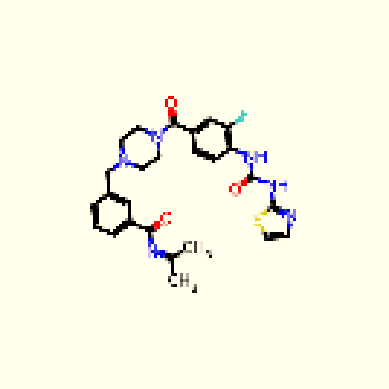 CC(C)=NC(=O)c1cccc(CN2CCN(C(=O)c3ccc(NC(=O)Nc4nccs4)c(F)c3)CC2)c1